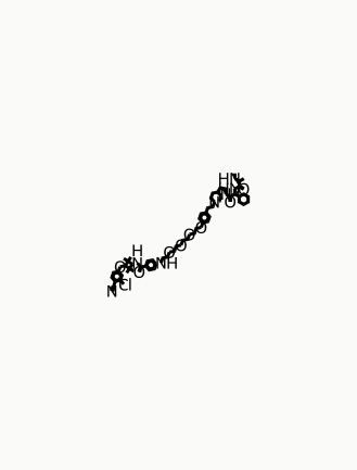 CNC(C)C(=O)NC(C(=O)N1CCC2CCN(CCc3ccc(OCCOCCOCCOCCNc4ccc(C(=O)NC5C(C)(C)C(Oc6ccc(C#N)c(Cl)c6)C5(C)C)cc4)cc3)CC21)C1CCCCC1